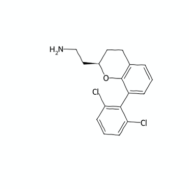 NCC[C@H]1CCc2cccc(-c3c(Cl)cccc3Cl)c2O1